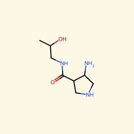 CC(O)CNC(=O)C1CNCC1N